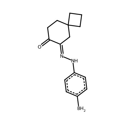 Bc1ccc(N/N=C2\CC3(CCC3)CCC2=O)cc1